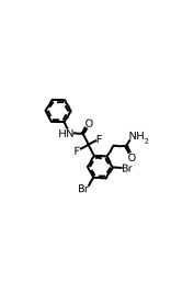 NC(=O)Cc1c(Br)cc(Br)cc1C(F)(F)C(=O)Nc1ccccc1